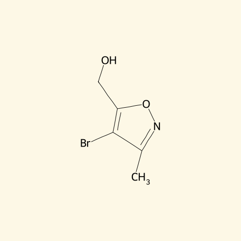 Cc1noc(CO)c1Br